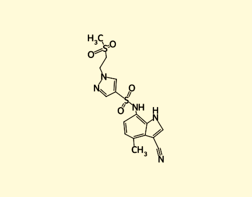 Cc1ccc(NS(=O)(=O)c2cnn(CCS(C)(=O)=O)c2)c2[nH]cc(C#N)c12